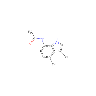 CCc1c[nH]c2c(NC(=O)C(F)(F)F)ccc(C#N)c12